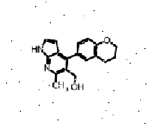 Cc1nc2[nH]ccc2c(-c2ccc3c(c2)CCCO3)c1CO